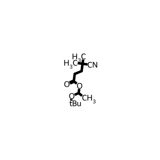 CC(OC(=O)CCC(C)(C)C#N)OC(C)(C)C